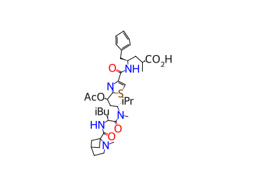 CCC(C)[C@H](NC(=O)C12CC(CCN1C)C2)C(=O)N(C)[C@H](C[C@@H](OC(C)=O)c1nc(C(=O)N[C@@H](Cc2ccccc2)C[C@H](C)C(=O)O)cs1)C(C)C